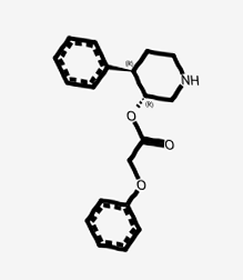 O=C(COc1ccccc1)O[C@H]1CNCC[C@@H]1c1ccccc1